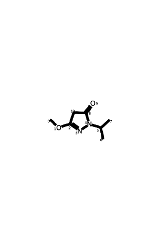 COC1=NN(C(C)C)C(=O)C1